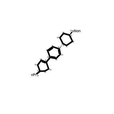 CCCCCCCCC[C@H]1CC[C@H](c2ccc(C3=CCC(CCC)CC3)cc2)CC1